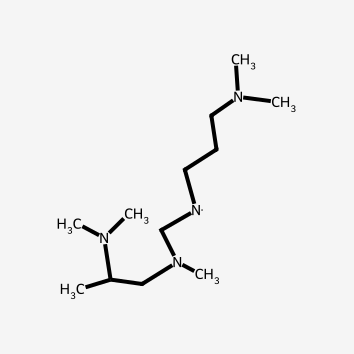 CC(CN(C)C[N]CCCN(C)C)N(C)C